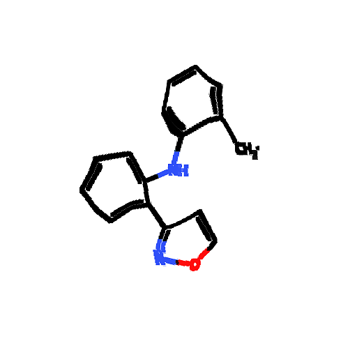 [CH2]c1ccccc1Nc1ccccc1-c1ccon1